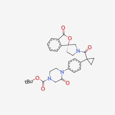 CC(C)(C)OC(=O)N1CCN(c2ccc(C3(C(=O)N4CC[C@@]5(C4)OC(=O)c4ccccc45)CC3)cc2)C(=O)C1